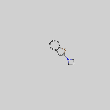 c1ccc2sc(N3CCC3)cc2c1